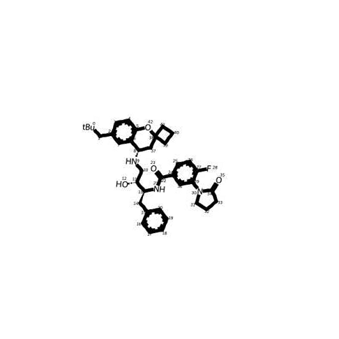 CC(C)(C)Cc1ccc2c(c1)[C@@H](NC[C@@H](O)[C@H](Cc1ccccc1)NC(=O)c1ccc(F)c(N3CCCC3=O)c1)CC1(CCC1)O2